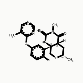 Cc1cncnc1Oc1ccc(F)c([C@]23CO[C@@H](C)C[C@H]2C(=O)N(C)C(=N)N3)c1